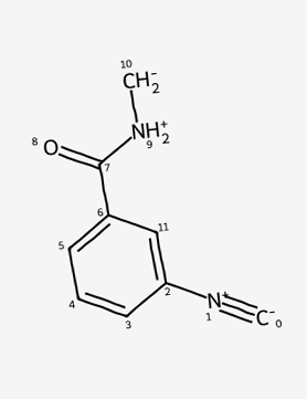 [C-]#[N+]c1cccc(C(=O)[NH2+][CH2-])c1